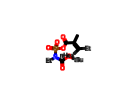 CCCCCCC(CC)=C(C)C(=O)OS(=O)(=O)N(CC)C(=O)OC(C)(C)C